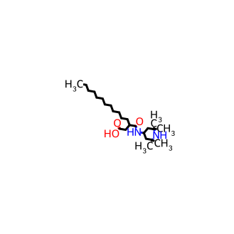 CCCCCCCCCCCCC(CC(=O)O)C(=O)NC1CC(C)(C)NC(C)(C)C1